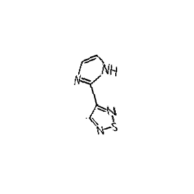 [c]1nsnc1-c1ncc[nH]1